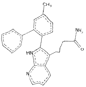 Cc1ccc(-c2[nH]c3ncccc3c2CCC(N)=O)c(-c2ccccc2)c1